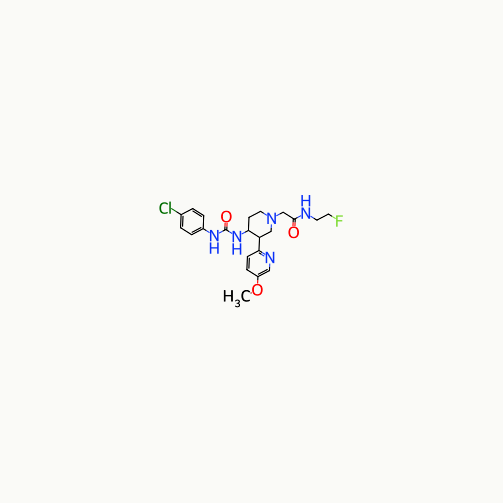 COc1ccc(C2CN(CC(=O)NCCF)CCC2NC(=O)Nc2ccc(Cl)cc2)nc1